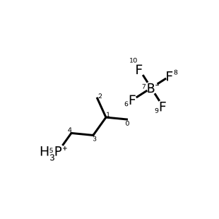 CC(C)CC[PH3+].F[B-](F)(F)F